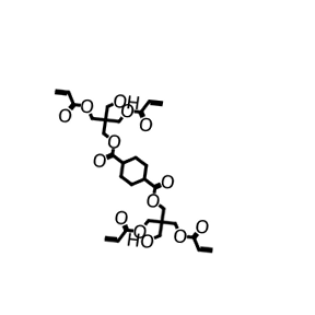 C=CC(=O)OCC(CO)(COC(=O)C=C)COC(=O)C1CCC(C(=O)OCC(CO)(COC(=O)C=C)COC(=O)C=C)CC1